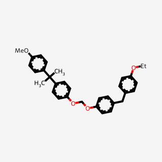 CCOc1ccc(Cc2ccc(OCOc3ccc(C(C)(C)c4ccc(OC)cc4)cc3)cc2)cc1